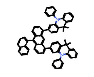 CC1(C)c2ccccc2N(c2ccccc2)c2cc(-c3cccc4c(-c5cccc6ccccc56)c5cccc(-c6ccc7c(c6)N(c6ccccc6)c6ccccc6C7(C)C)c5cc34)ccc21